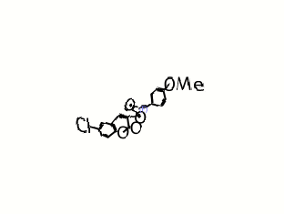 COc1ccc(/C=C/S(=O)(=O)c2cc3cc(Cl)ccc3oc2=O)cc1